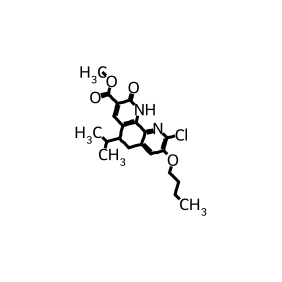 CCCCOc1cc2c(nc1Cl)-c1[nH]c(=O)c(C(=O)OC)cc1C(C(C)C)C2